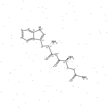 NC(=O)CC[C@H](N)C(=O)OC(=O)[C@@H](N)Cc1c[nH]c2ccccc12